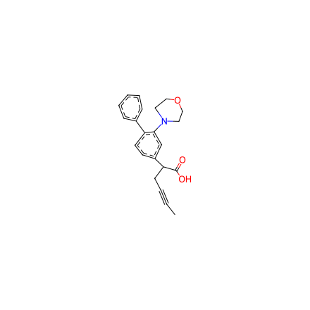 CC#CCC(C(=O)O)c1ccc(-c2ccccc2)c(N2CCOCC2)c1